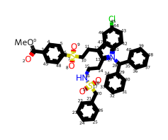 COC(=O)c1ccc(S(=O)(=O)CCc2c(CCNS(=O)(=O)Cc3ccccc3)n(C(c3ccccc3)c3ccccc3)c3ccc(Cl)cc23)cc1